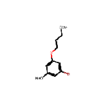 COCCCOc1cc(Br)cc(OC)c1